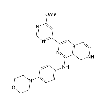 COc1cc(-c2cc3c(c(Nc4ccc(N5CCOCC5)cc4)n2)CNC=C3)ncn1